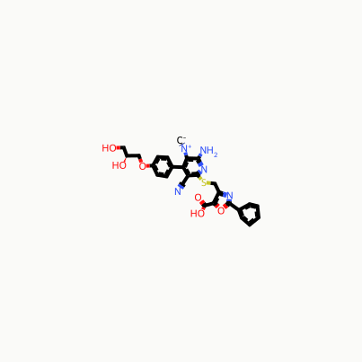 [C-]#[N+]c1c(N)nc(SCc2nc(-c3ccccc3)oc2C(=O)O)c(C#N)c1-c1ccc(OC[C@H](O)CO)cc1